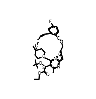 CCOC(=O)[C@@H](OC(C)(C)C)c1c(C)nc2cc3nn2c1N1CCC(C)(CC1)OCC=Cc1cc(F)ccc1COC3